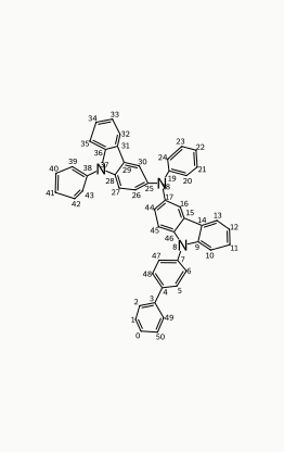 c1ccc(-c2ccc(-n3c4ccccc4c4cc(N(c5ccccc5)c5ccc6c(c5)c5ccccc5n6-c5ccccc5)ccc43)cc2)cc1